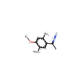 CCOc1cc([N+](=O)[O-])c(C(C)=[N+]=[N-])cc1OC